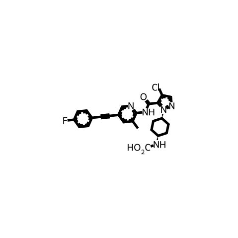 Cc1cc(C#Cc2ccc(F)cc2)cnc1NC(=O)c1c(Cl)cnn1[C@H]1CC[C@@H](NC(=O)O)CC1